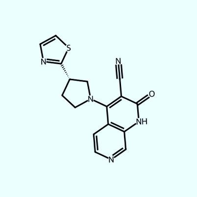 N#Cc1c(N2CC[C@H](c3nccs3)C2)c2ccncc2[nH]c1=O